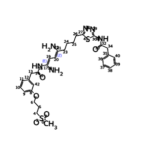 CS(=O)(=O)CCCOc1cccc(CC(=O)N/C(N)=C/C=C(\N)CCCCc2nnc(NC(=O)Cc3ccccc3)s2)c1